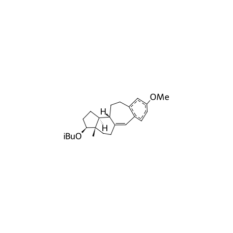 COc1ccc2c(c1)CC[C@@H]1C(=C2)CC[C@]2(C)[C@@H](OCC(C)C)CC[C@@H]12